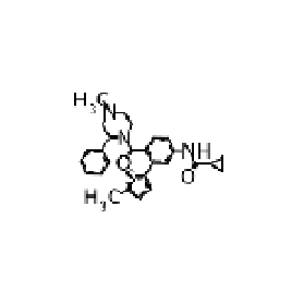 Cc1ccc(-c2cc(NC(=O)C3CC3)ccc2C(=O)N2CCN(C)C[C@@H]2c2ccccc2)s1